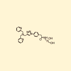 O=C(Cc1ccc(-n2cc(CN(Cc3ccccn3)Cc3ccccn3)nn2)cc1)NC[C@H](O)CO